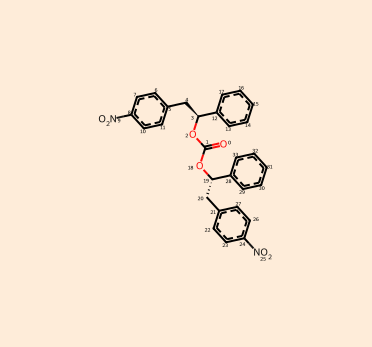 O=C(O[C@@H](Cc1ccc([N+](=O)[O-])cc1)c1ccccc1)O[C@@H](Cc1ccc([N+](=O)[O-])cc1)c1ccccc1